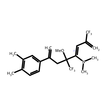 C=C(CC(OC)(/C(=C/C(=C)C(F)(F)F)N(C)C)C(F)(F)F)c1ccc(C)c(C)c1